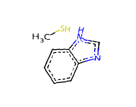 CS.c1ccc2[nH]cnc2c1